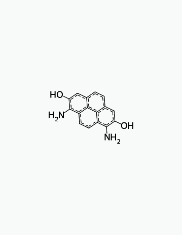 Nc1c(O)cc2ccc3cc(O)c(N)c4ccc1c2c34